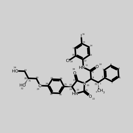 C[C@@H](c1ccccc1)C(C(=O)Nc1ccc(I)cc1Cl)N1C(=O)N[C@@H](c2ccc(OC[C@H](O)CO)cc2)C1=O